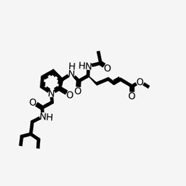 CCC(CC)CNC(=O)Cn1cccc(NC(=O)[C@H](CC/C=C/C(=O)OC)NC(C)=O)c1=O